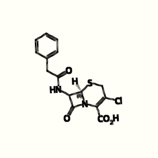 O=C(Cc1ccccc1)NC1C(=O)N2C(C(=O)O)=C(Cl)CS[C@H]12